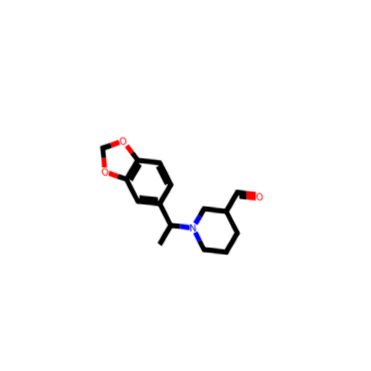 CC(c1ccc2c(c1)OCO2)N1CCCC(C=O)C1